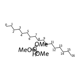 CCCCCCCCCCCCCCCCC.CO[SiH](OC)OC